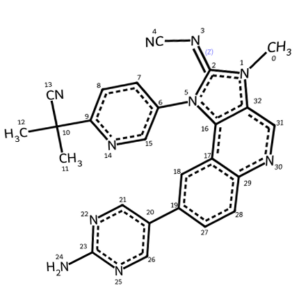 Cn1/c(=N/C#N)n(-c2ccc(C(C)(C)C#N)nc2)c2c3cc(-c4cnc(N)nc4)ccc3ncc21